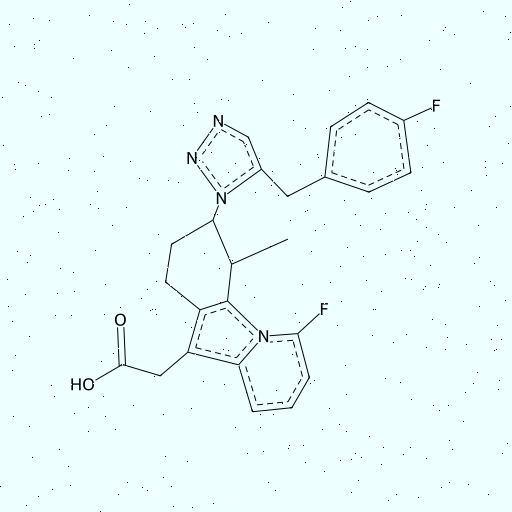 CC1c2c(c(CC(=O)O)c3cccc(F)n23)CCC1n1nncc1Cc1ccc(F)cc1